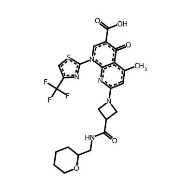 Cc1cc(N2CC(C(=O)NCC3CCCCO3)C2)nc2c1c(=O)c(C(=O)O)cn2-c1nc(C(F)(F)F)cs1